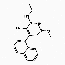 CCNn1[nH]n(NC)sc(-c2cccc3ccccc23)c1N